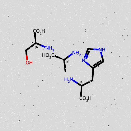 C[C@H](N)C(=O)O.N[C@@H](CO)C(=O)O.N[C@@H](Cc1c[nH]cn1)C(=O)O